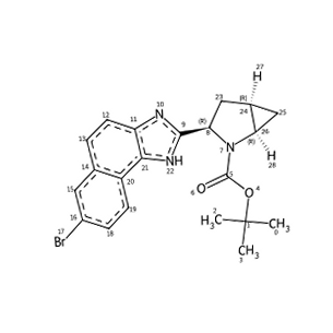 CC(C)(C)OC(=O)N1[C@@H](c2nc3ccc4cc(Br)ccc4c3[nH]2)C[C@H]2C[C@H]21